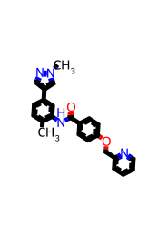 Cc1ccc(-c2cnn(C)c2)cc1NC(=O)c1ccc(OCc2ccccn2)cc1